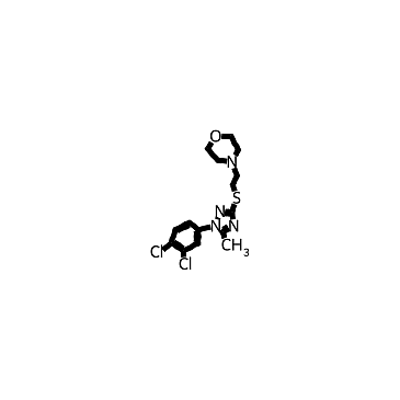 Cc1nc(SCCN2CCOCC2)nn1-c1ccc(Cl)c(Cl)c1